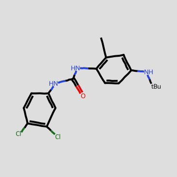 Cc1cc(NC(C)(C)C)ccc1NC(=O)Nc1ccc(Cl)c(Cl)c1